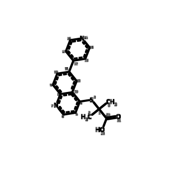 CC(C)(Sc1ccnc2ccc(-c3ccncc3)cc12)C(=O)O